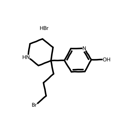 Br.Oc1ccc(C2(CCCBr)CCCNC2)cn1